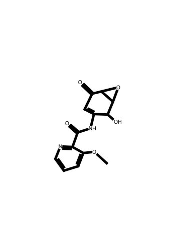 COc1cccnc1C(=O)NC1=CC(=O)C2OC2C1O